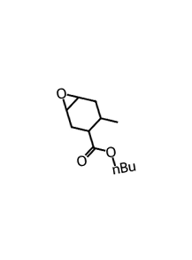 CCCCOC(=O)C1CC2OC2CC1C